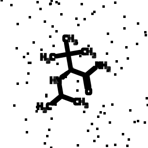 CC(C)N[C@H](C(N)=O)C(C)(C)C